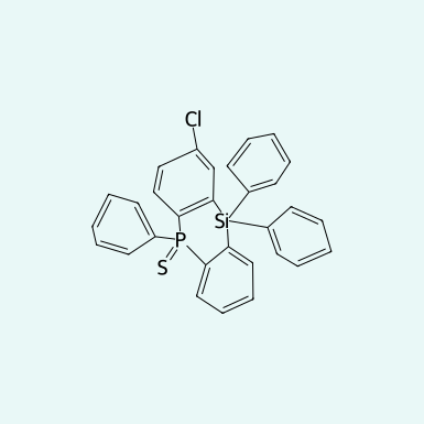 S=P1(c2ccccc2)c2ccccc2[Si](c2ccccc2)(c2ccccc2)c2cc(Cl)ccc21